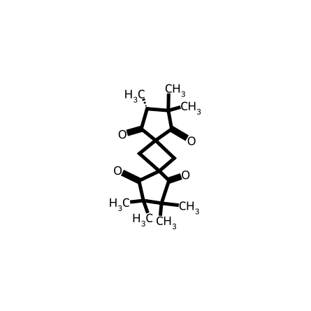 C[C@H]1C(=O)C2(CC3(C2)C(=O)C(C)(C)C(C)(C)C3=O)C(=O)C1(C)C